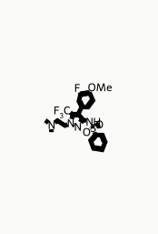 COc1ccc(-c2c(NS(=O)(=O)c3ccccc3)nn(CCN(C)C)c2C(F)(F)F)cc1F